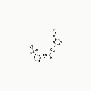 CCOc1cncc(C23CC(C(=O)NCc4cc(S(=O)(=O)C5CC5)ccn4)(C2)C3)n1